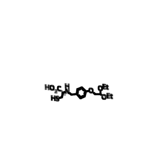 CCOC(COc1ccc(CN[C@H](CS)C(=O)O)cc1)OCC